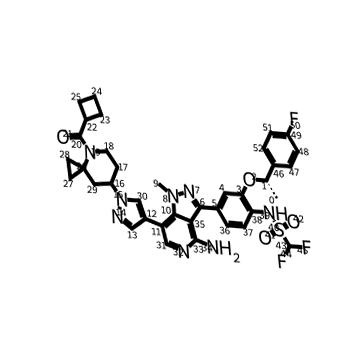 C[C@H](Oc1cc(-c2nn(C)c3c(-c4cnn(C5CCN(C(=O)C6CCC6)C6(CC6)C5)c4)cnc(N)c23)ccc1NS(=O)(=O)C(F)F)c1ccc(F)cc1